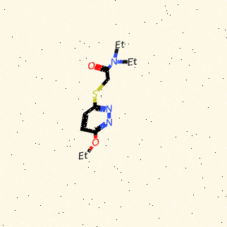 CCOc1ccc(SCC(=O)N(CC)CC)nn1